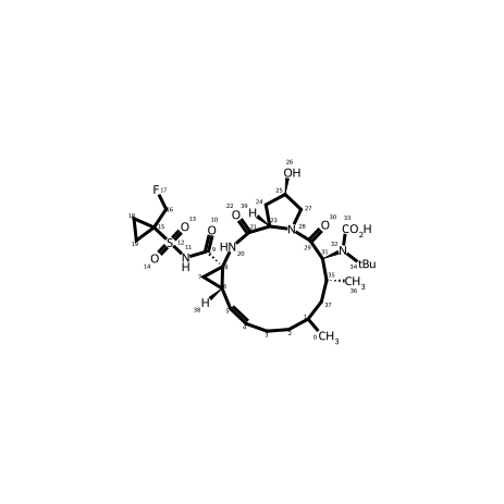 CC1CCC=C[C@@H]2C[C@@]2(C(=O)NS(=O)(=O)C2(CF)CC2)NC(=O)[C@@H]2C[C@@H](O)CN2C(=O)[C@@H](N(C(=O)O)C(C)(C)C)[C@H](C)C1